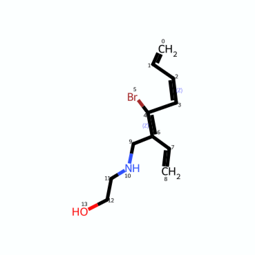 C=C/C=C\C(Br)=C(/C=C)CNCCO